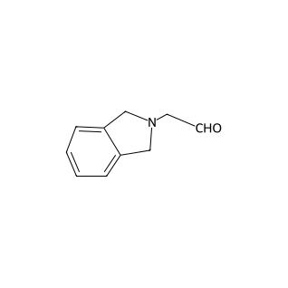 O=CCN1Cc2ccccc2C1